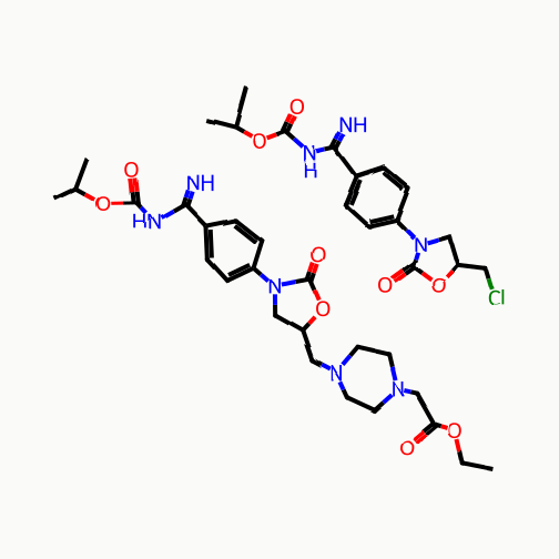 CC(C)OC(=O)NC(=N)c1ccc(N2CC(CCl)OC2=O)cc1.CCOC(=O)CN1CCN(CC2CN(c3ccc(C(=N)NC(=O)OC(C)C)cc3)C(=O)O2)CC1